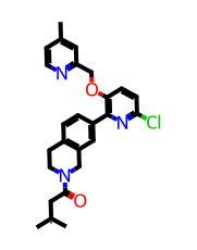 C[C](C)CC(=O)N1CCc2ccc(-c3nc(Cl)ccc3OCc3cc(C)ccn3)cc2C1